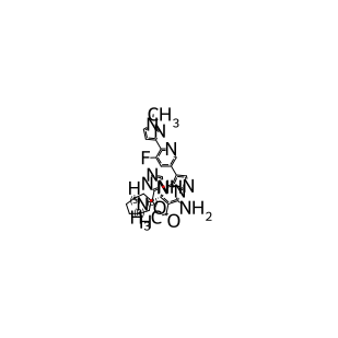 CC(=O)c1c([C@@H]2C[C@H]3CC[C@@H](C2)N3C(=O)c2nnc[nH]2)nc2c(-c3cnc(-c4ccn(C)n4)c(F)c3)cnn2c1N